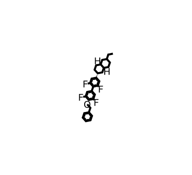 CCC1CC[C@@H]2C[C@H](c3cc(F)c(-c4cc(F)c(OCc5ccccc5)c(F)c4)c(F)c3)CC[C@@H]2C1